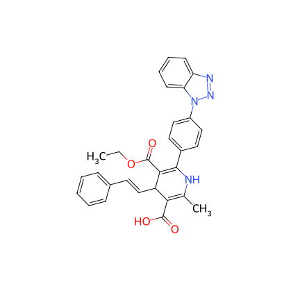 CCOC(=O)C1=C(c2ccc(-n3nnc4ccccc43)cc2)NC(C)=C(C(=O)O)C1C=Cc1ccccc1